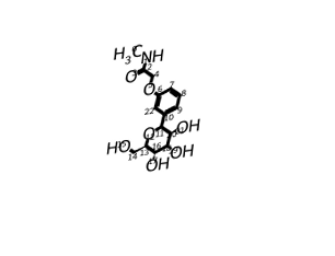 CNC(=O)COc1cccc(C2O[C@H](CO)[C@@H](O)[C@H](O)[C@@H]2O)c1